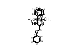 C[C@@]1(C2C=CC=CC2)N=C(COc2ccccc2)N[C@]1(C)c1ccccc1